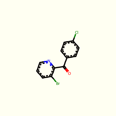 O=C(c1ccc(Cl)cc1)c1ncccc1Br